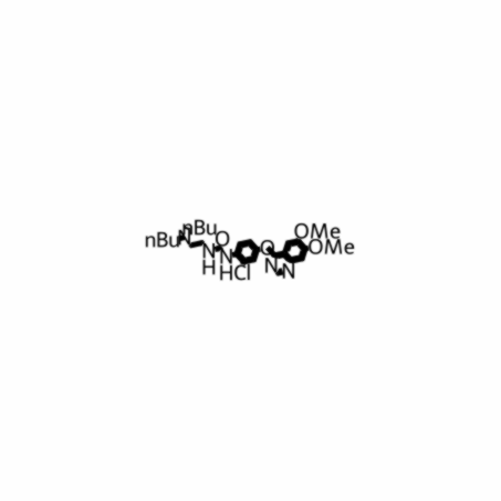 CCCCN(CCCC)CCNC(=O)Nc1ccc(Oc2ncnc3cc(OC)c(OC)cc23)cc1Cl